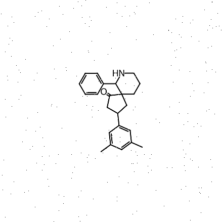 Cc1cc(C)cc(C2CC(=O)C3(CCCNC3c3ccccc3)C2)c1